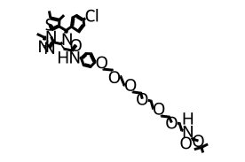 Cc1sc2c(c1C)C(c1ccc(Cl)cc1)=N[C@@H](CC(=O)Nc1ccc(OCCOCCOCCOCCOCCOCCNC(=O)OC(C)(C)C)cc1)c1nnc(C)n1-2